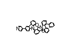 O=C1c2cccc(-n3c4ccccc4c4cc(-c5ccncc5)ccc43)c2C(=O)N1c1cccc(-c2ccccc2)c1-c1ccccc1